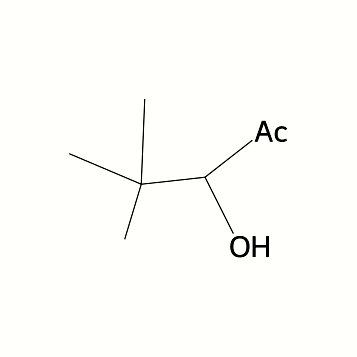 CC(=O)C(O)C(C)(C)C